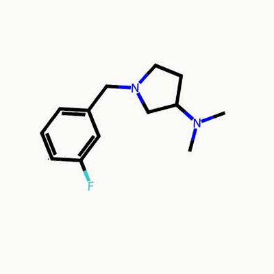 CN(C)C1CCN(Cc2cc[c]c(F)c2)C1